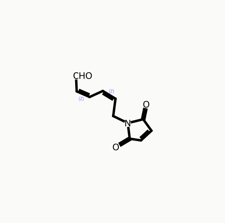 O=C/C=C\C=C/CN1C(=O)C=CC1=O